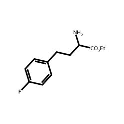 CCOC(=O)C(N)CCc1ccc(F)cc1